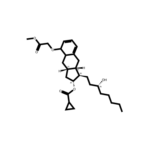 CCCCC[C@@H](O)CC[C@@H]1[C@H]2CC3=CC=CC(OCC(=O)OC)C3C[C@H]2C[C@H]1OC(=O)C1CC1